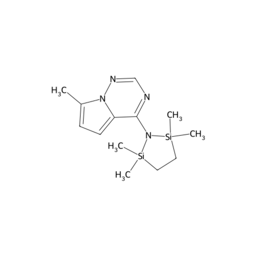 Cc1ccc2c(N3[Si](C)(C)CC[Si]3(C)C)ncnn12